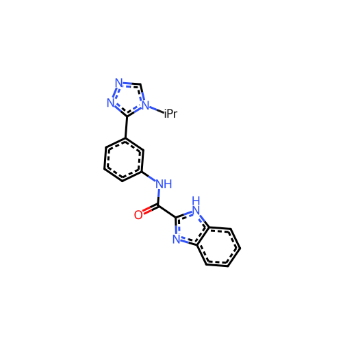 CC(C)n1cnnc1-c1cccc(NC(=O)c2nc3ccccc3[nH]2)c1